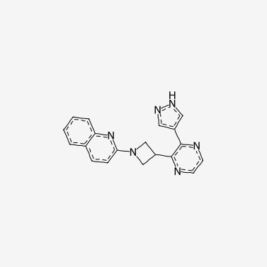 c1ccc2nc(N3CC(c4nccnc4-c4cn[nH]c4)C3)ccc2c1